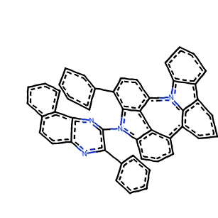 c1ccc(-c2nc3ccc4ccccc4c3nc2-n2c3cccc4c5cccc6c7ccccc7n(c7ccc(-c8ccccc8)c2c7c43)c56)cc1